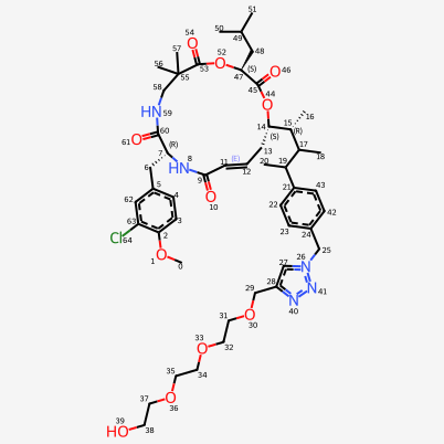 COc1ccc(C[C@H]2NC(=O)/C=C/C[C@@H]([C@H](C)C(C)C(C)c3ccc(Cn4cc(COCCOCCOCCO)nn4)cc3)OC(=O)[C@H](CC(C)C)OC(=O)C(C)(C)CNC2=O)cc1Cl